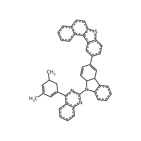 CC1=CC(C)CC(c2nc(N3c4ccccc4C4C=C(c5ccc6sc7ccc8ccccc8c7c6c5)C=CC43)nc3ccccc23)=C1